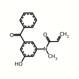 C=CC(=O)N(C)c1cc(O)cc(C(=O)c2ccccc2)c1